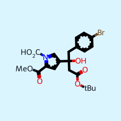 COC(=O)c1cc(C(O)(CC(=O)OC(C)(C)C)Cc2ccc(Br)cc2)cn1C(=O)O